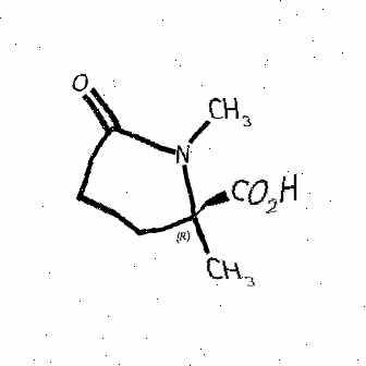 CN1C(=O)CC[C@]1(C)C(=O)O